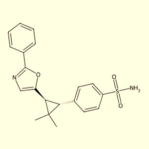 CC1(C)[C@@H](c2ccc(S(N)(=O)=O)cc2)[C@@H]1c1cnc(-c2ccccc2)o1